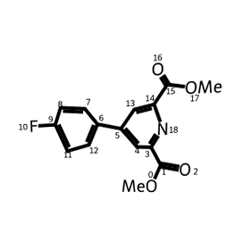 COC(=O)c1cc(-c2ccc(F)cc2)cc(C(=O)OC)n1